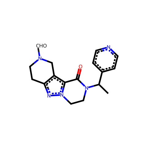 CC(c1ccncc1)N1CCn2nc3c(c2C1=O)CN(C=O)CC3